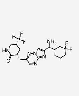 N[C@H](c1cn2nc(C[C@H]3C[C@@H](C(F)(F)F)CNC3=O)cnc2n1)[C@@H]1CCCC(F)(F)C1